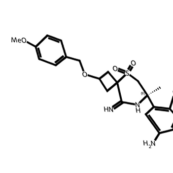 COc1ccc(COC2CC3(C2)C(=N)N[C@](C)(c2cc(N)ccc2F)CS3(=O)=O)cc1